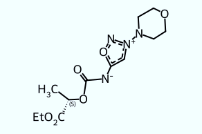 CCOC(=O)[C@H](C)OC(=O)[N-]c1c[n+](N2CCOCC2)no1